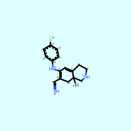 CCC12CNCCC1=CC(Nc1ccc(F)cc1)=C(C=N)C2